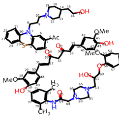 CC(=O)c1ccc2c(c1)N(CCCN1CCC(CCO)CC1)c1ccccc1S2.COc1cc(/C=C/C(=O)CC(=O)/C=C/c2ccc(O)c(OC)c2)ccc1O.COc1ccccc1OCC(O)CN1CCN(CC(=O)Nc2c(C)cccc2C)CC1